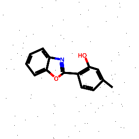 Cc1ccc(-c2nc3ccccc3o2)c(O)c1